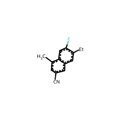 CCc1cc2cc(C#N)cc(C)c2cc1F